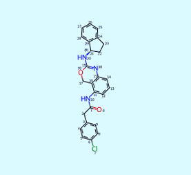 O=C(Cc1ccc(Cl)cc1)Nc1cccc2c1COC(N[C@@H]1CCc3ccccc31)=N2